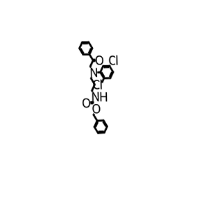 O=C(NCCCN(CC(=O)c1ccccc1)c1cc(Cl)ccc1Cl)OCc1ccccc1